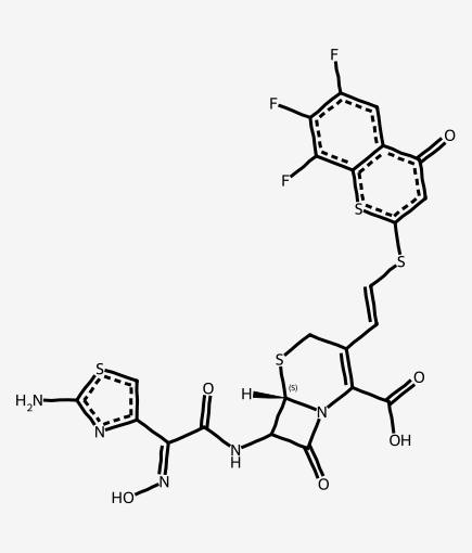 Nc1nc(C(=NO)C(=O)NC2C(=O)N3C(C(=O)O)=C(C=CSc4cc(=O)c5cc(F)c(F)c(F)c5s4)CS[C@@H]23)cs1